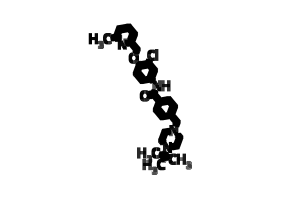 Cc1cccc(COc2ccc(NC(=O)c3ccc(CN4CCN(C(C)(C)C)CC4)cc3)cc2Cl)n1